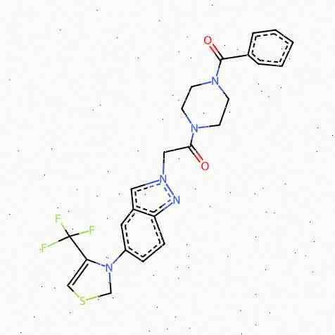 O=C(Cn1cc2cc(N3CSC=C3C(F)(F)F)ccc2n1)N1CCN(C(=O)c2ccccc2)CC1